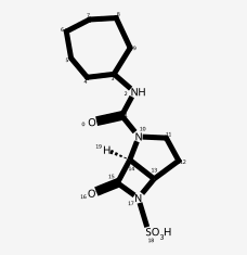 O=C(NC1CCCCCC1)N1CCC2[C@H]1C(=O)N2S(=O)(=O)O